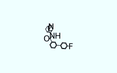 O=C(NC1CN2CCC1CC2)c1cccc(-c2ccc(F)cc2)c1